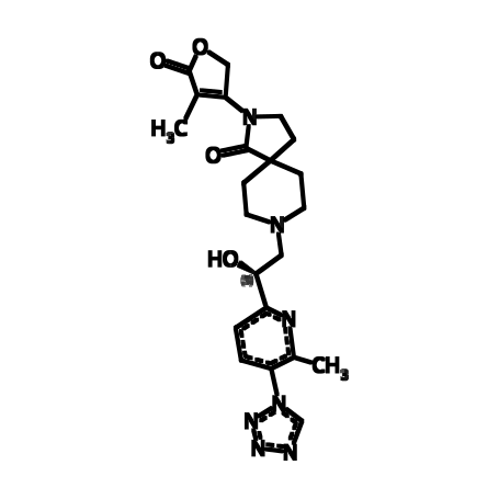 CC1=C(N2CCC3(CCN(C[C@H](O)c4ccc(-n5cnnn5)c(C)n4)CC3)C2=O)COC1=O